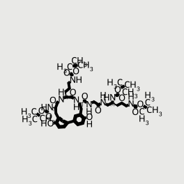 CC(C)(C)OC(=O)NCCC[C@@H](CNC(=O)CNC(=O)[C@@H]1Cc2cc(ccc2O)-c2ccc(O)c(c2)C[C@H](NC(=O)OC(C)(C)C)C(=O)N[C@@H](CCCNC(=O)OC(C)(C)C)C(=O)N1)NC(=O)OC(C)(C)C